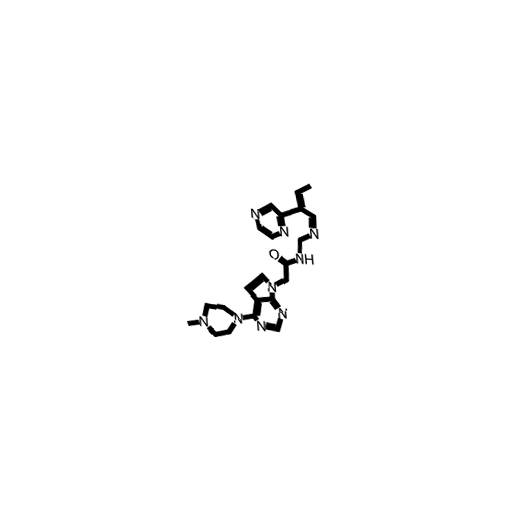 C/C=C(\C=N/CNC(=O)Cn1ccc2c(N3CCN(C)CC3)ncnc21)c1cnccn1